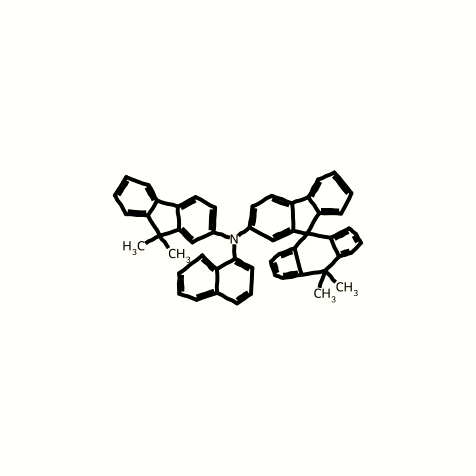 CC1(C)c2ccccc2-c2ccc(N(c3ccc4c(c3)C3(c5ccccc5-4)c4ccccc4C(C)(C)c4ccccc43)c3cccc4ccccc34)cc21